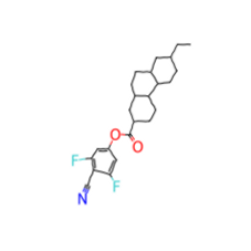 CCC1CCC2C(CCC3CC(C(=O)Oc4cc(F)c(C#N)c(F)c4)CCC32)C1